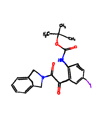 CC(C)(C)OC(=O)Nc1ccc(I)cc1C(=O)C(=O)N1Cc2ccccc2C1